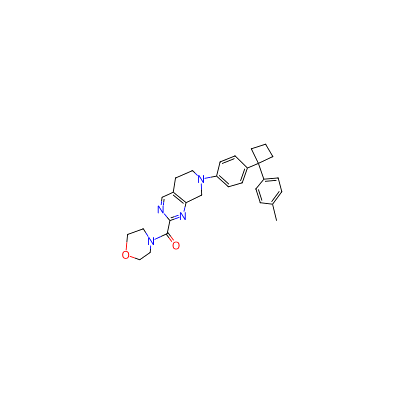 Cc1ccc(C2(c3ccc(N4CCc5cnc(C(=O)N6CCOCC6)nc5C4)cc3)CCC2)cc1